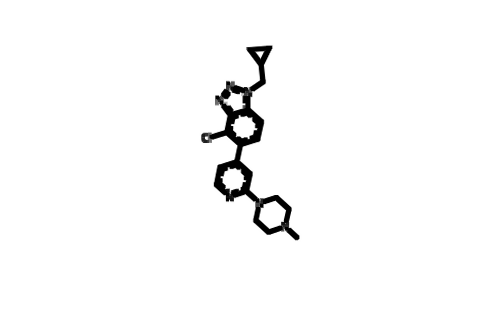 CN1CCN(c2cc(-c3ccc4c(nnn4CC4CC4)c3Cl)ccn2)CC1